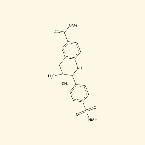 CNS(=O)(=O)c1ccc(C2Nc3ccc(C(=O)OC)cc3CC2(C)C)cc1